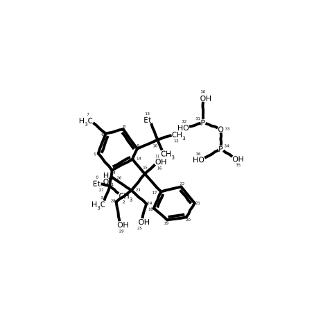 CCC(C)(C)c1cc(C)cc(C(C)(C)CC)c1C(O)(c1ccccc1)C(CO)(CO)CO.OP(O)OP(O)O